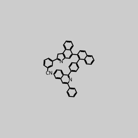 N#Cc1cccc(C2=Nc3cc(-c4ccc5ccccc5c4-c4ccc(-c5nc(-c6ccccc6)cc6ccccc56)cc4)c4ccccc4c3C2)c1